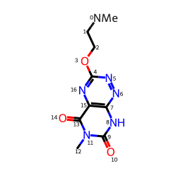 CNCCOc1nnc2[nH]c(=O)n(C)c(=O)c2n1